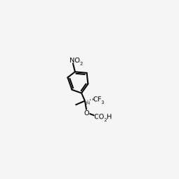 C[C@](OC(=O)O)(c1ccc([N+](=O)[O-])cc1)C(F)(F)F